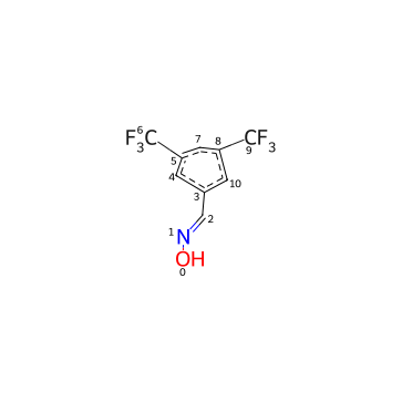 O/N=C/c1cc(C(F)(F)F)cc(C(F)(F)F)c1